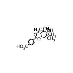 CC1(C)CC(OC(=O)c2ccc(C(=O)O)cc2)CC(C)(C)N1O